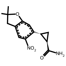 CC1(C)Cc2cc([N+](=O)[O-])c([C@@H]3C[C@H]3C(N)=O)cc2O1